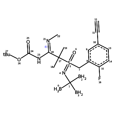 BC(B)(B)N=S(=O)(Cc1cc(C#C)ccc1F)C(C)(C)/C(=N\C)NC(=O)OC(C)(C)C